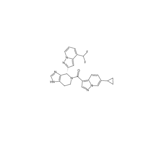 O=C(c1cnn2cc(C3CC3)ccc12)N1CCc2[nH]cnc2[C@@H]1c1cc2c(C(F)F)cccn2n1